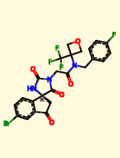 O=C1C[C@]2(NC(=O)N(CC(=O)N(Cc3ccc(F)cc3)C3(C(F)(F)F)COC3)C2=O)c2ccc(Br)cc21